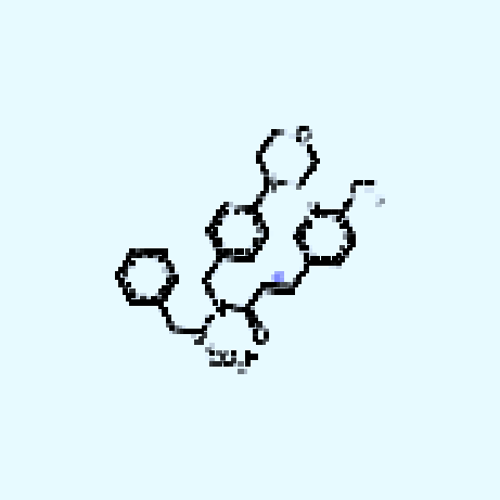 O=C(O)[C@H](Cc1ccccc1)N(Cc1ccc(N2CCOCC2)cc1)C(=O)/C=C/c1ccc(C(F)(F)F)nc1